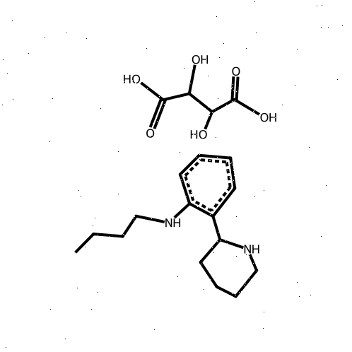 CCCCNc1ccccc1C1CCCCN1.O=C(O)C(O)C(O)C(=O)O